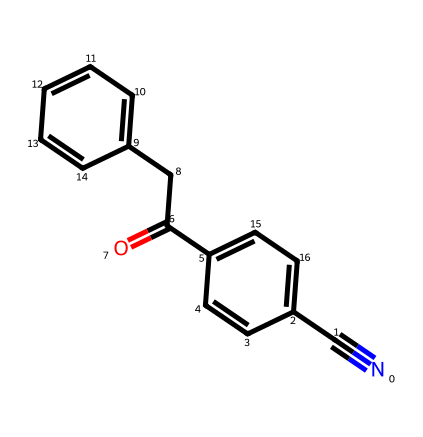 N#Cc1ccc(C(=O)Cc2ccccc2)cc1